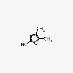 Cc1cc(C#N)oc1C